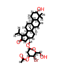 CC(=O)OC1CC(OC[C@@]23CC[C@]4(C)C(CCC5[C@@]6(C)CC[C@H](O)C(C)(C)C6CC[C@]54C)C2=C(C(C)C)C(=O)C3)OC(CO)C1Br